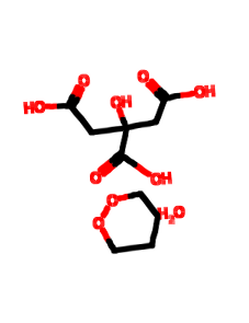 C1CCOOC1.O.O=C(O)CC(O)(CC(=O)O)C(=O)O